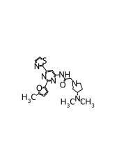 Cc1ccc(-c2nc(NC(=O)CN3CC[C@@H](N(C)C)C3)cc(-c3nccs3)n2)o1